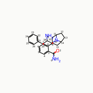 NC(=O)c1ccccc1C1CC2CCC(C1)N2CC(N)Cc1ccccc1